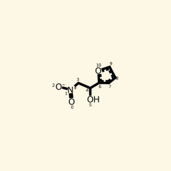 O=[N+]([O-])CC(O)c1ccco1